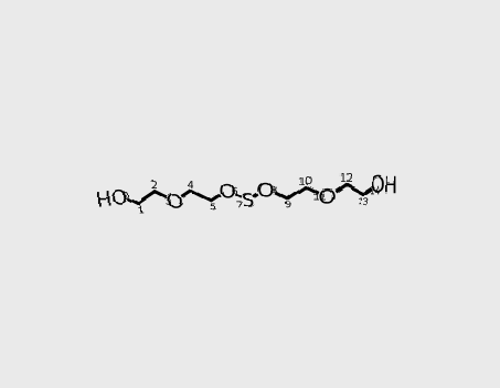 OCCOCCOSOCCOCCO